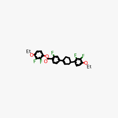 CCOc1ccc(OC(=O)c2ccc(C3=CCC(c4ccc(OCC)c(F)c4F)CC3)cc2F)c(F)c1F